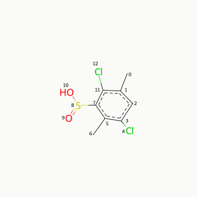 Cc1cc(Cl)c(C)c(S(=O)O)c1Cl